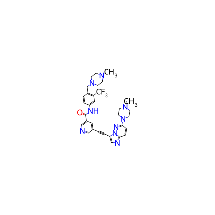 CN1CCN(Cc2ccc(NC(=O)c3cncc(C#Cc4cnc5ccc(N6CCN(C)CC6)nn45)c3)cc2C(F)(F)F)CC1